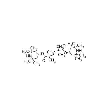 CC1(C)CC(OC(=O)C(C)(C)CCC(C)(C)C(=O)OC2CC(C)(C)NC(C)(C)C2)CC(C)(C)N1